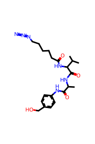 CC(NC(=O)C(NC(=O)CCCCCN=[N+]=[N-])C(C)C)C(=O)Nc1ccc(CO)cc1